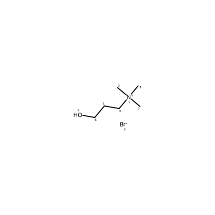 C[N+](C)(C)CCCO.[Br-]